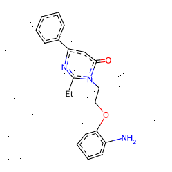 CCc1nc(-c2ccccc2)cc(=O)n1CCOc1ccccc1N